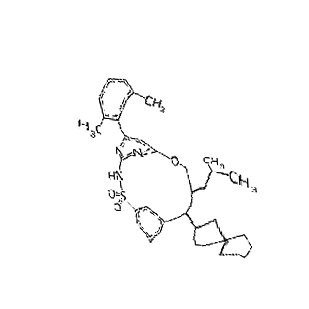 Cc1cccc(C)c1-c1cc2nc(n1)NS(=O)(=O)c1cccc(c1)C(C1CC3(CCCC3)C1)C(CC(C)C)CO2